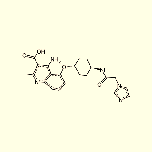 Cc1nc2cccc(O[C@H]3CC[C@H](NC(=O)Cn4ccnc4)CC3)c2c(N)c1C(=O)O